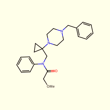 COCC(=O)N(CC1(N2CCN(Cc3ccccc3)CC2)CC1)c1ccccc1